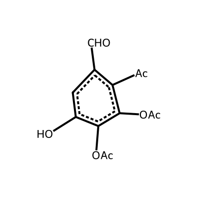 CC(=O)Oc1c(O)cc(C=O)c(C(C)=O)c1OC(C)=O